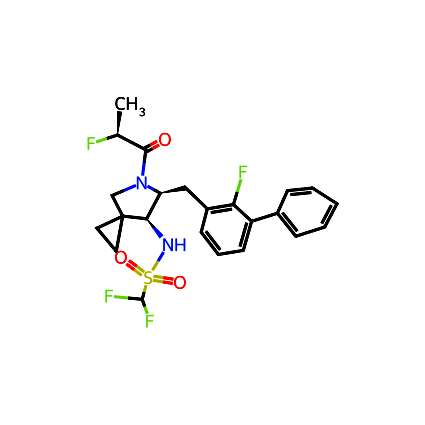 C[C@H](F)C(=O)N1CC2(CC2)[C@H](NS(=O)(=O)C(F)F)[C@@H]1Cc1cccc(-c2ccccc2)c1F